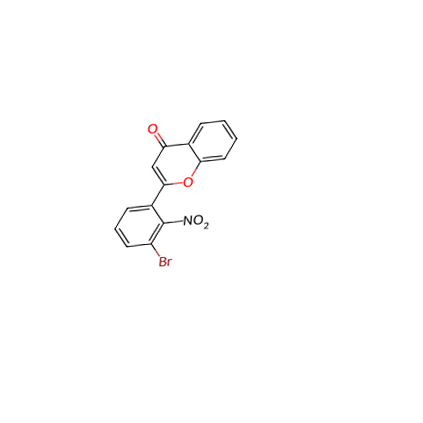 O=c1cc(-c2cccc(Br)c2[N+](=O)[O-])oc2ccccc12